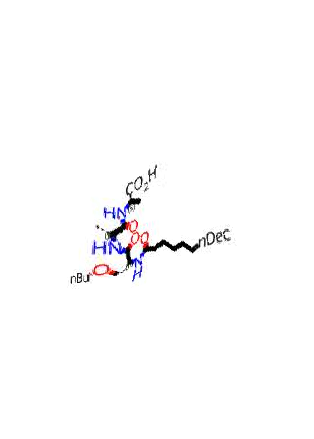 CCCCCCCCCCCCCCCC(=O)N[C@H](COCCCC)C(=O)N[C@H](C)C(=O)N[C@@H](C)C(=O)O